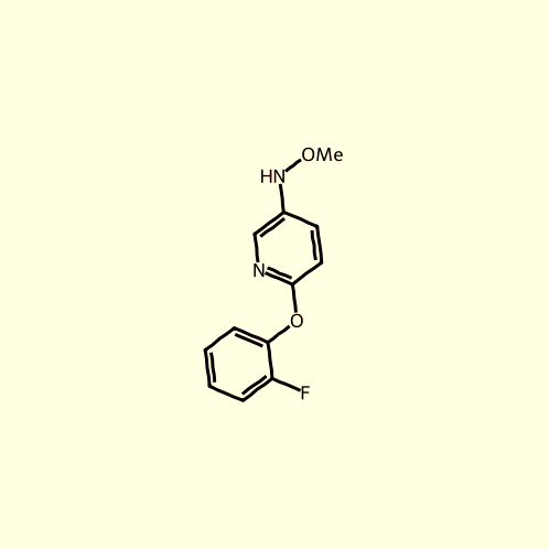 CONc1ccc(Oc2ccccc2F)nc1